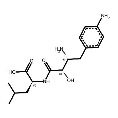 CC(C)C[C@H](NC(=O)[C@@H](O)[C@H](N)Cc1ccc(N)cc1)C(=O)O